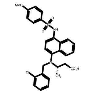 COc1ccc(S(=O)(=O)Nc2ccc(N(Cc3ccccc3Cl)[C@@H](C)CC(=O)O)c3ccccc23)cc1